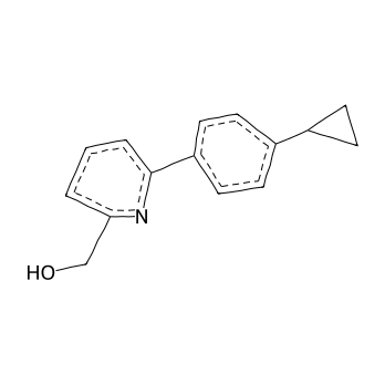 OCc1cccc(-c2ccc(C3CC3)cc2)n1